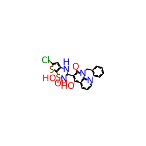 O=c1c(C2=NS(O)(O)c3sc(Cl)cc3N2)c(O)c2cccnc2n1Cc1ccccc1